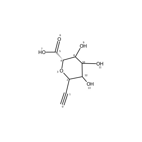 C#CC1O[C@H](C(=O)O)C(O)C(O)C1O